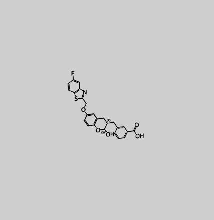 O=C(O)c1cccc(C[C@@H]2Cc3cc(OCc4nc5cc(F)ccc5s4)ccc3O[C@@H]2O)c1